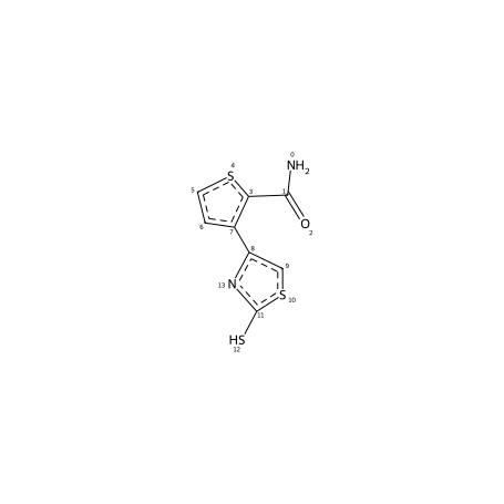 NC(=O)c1sccc1-c1csc(S)n1